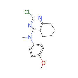 COc1ccc(N(C)c2nc(Cl)nc3c2CCCC3)cc1